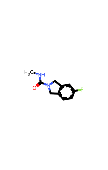 CNC(=O)N1Cc2ccc(F)cc2C1